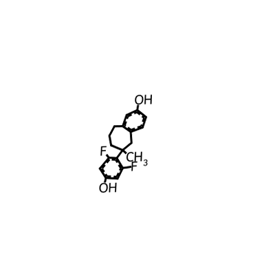 CC1(c2c(F)cc(O)cc2F)CCCc2cc(O)ccc2C1